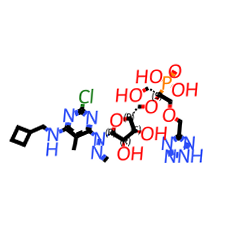 C=NN(c1nc(Cl)nc(NCC2CCC2)c1C)[C@@H]1O[C@H](CO[C@](CO)(COCc2nn[nH]n2)P(=O)(O)O)[C@@H](O)[C@H]1O